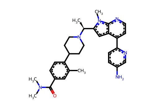 Cc1cc(C(=O)N(C)C)ccc1C1CCN([C@@H](C)c2cc3c(-c4ccc(N)cn4)ccnc3n2C)CC1